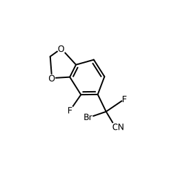 N#CC(F)(Br)c1ccc2c(c1F)OCO2